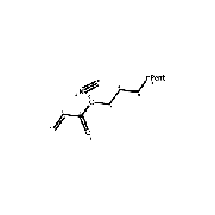 C#N.C=CC(=O)OCCCCCCCC